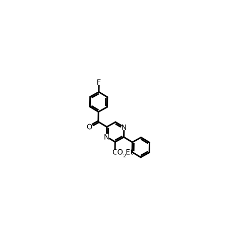 CCOC(=O)c1nc(C(=O)c2ccc(F)cc2)cnc1-c1ccccc1